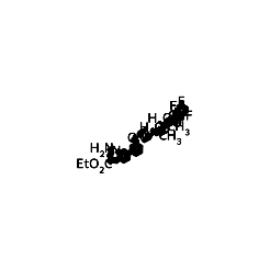 CCOC(=O)C1=Cc2ccc(-c3cccc(C(=O)N4CCN(CCC(C)(C)OCC(C)(C)C(=O)Oc5c(F)c(F)cc(F)c5F)CC4)c3)cc2N=C(N)C1